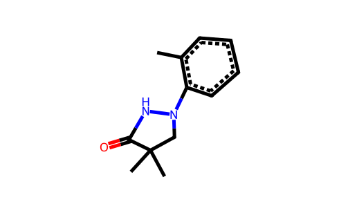 Cc1ccccc1N1CC(C)(C)C(=O)N1